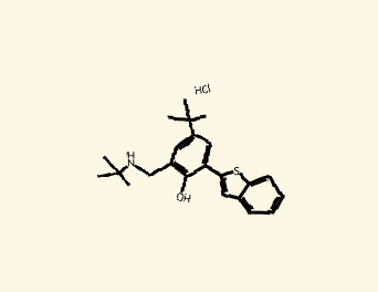 CC(C)(C)NCc1cc(C(C)(C)C)cc(-c2cc3ccccc3s2)c1O.Cl